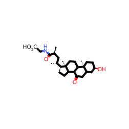 C[C@H](C[C@H](C)C(=O)NCC(=O)O)[C@H]1CCC2C3C(=O)CC4C[C@H](O)CC[C@]4(C)C3CC[C@@]21C